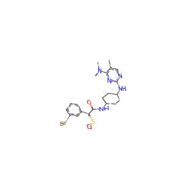 Cc1cnc(NC2CCC(NC(=O)C(=S=O)c3cccc(Br)c3)CC2)nc1N(C)C